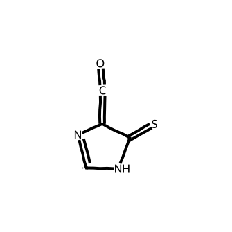 O=C=C1N=[C]NC1=S